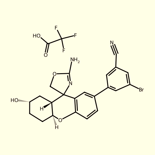 N#Cc1cc(Br)cc(-c2ccc3c(c2)C2(COC(N)=N2)[C@H]2C[C@@H](O)CC[C@@H]2O3)c1.O=C(O)C(F)(F)F